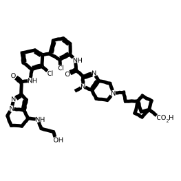 Cn1c(C(=O)Nc2cccc(-c3cccc(NC(=O)c4cc5n(n4)CCCC5NCCO)c3Cl)c2Cl)nc2c1CCN(CCC13CCC(C(=O)O)(CC1)C3)C2